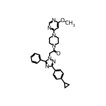 COc1cc(N2CCN(C(=O)Cn3nc(-c4ccc(C5CC5)cc4)nc3-c3ccccc3)CC2)ncn1